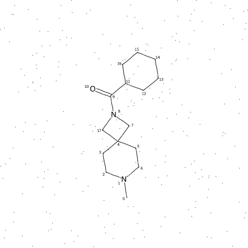 CN1CCC2(CC1)CN(C(=O)C1CCCCC1)C2